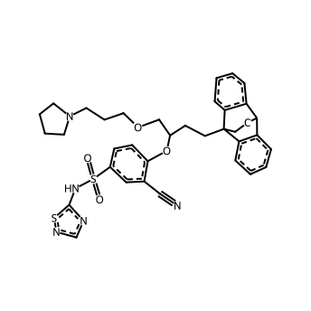 N#Cc1cc(S(=O)(=O)Nc2ncns2)ccc1OC(CCC12CCC(c3ccccc31)c1ccccc12)COCCCN1CCCC1